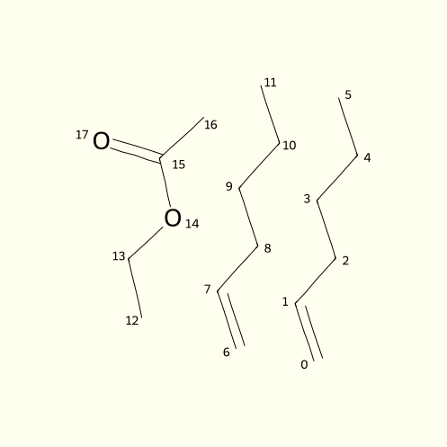 C=CCCCC.C=CCCCC.CCOC(C)=O